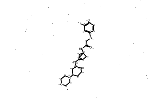 O=C(COc1ccc(Cl)c(F)c1)NC12CC(C1)C(NC1CC(N3CCOCC3)CCN1)C2